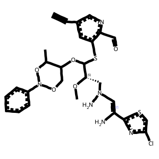 C#Cc1cnc(C=O)c(SC(OC2CON(c3ccccc3)OC2C)[C@H](CN(N)/C=C(\N)c2nc(Cl)cs2)OC)c1